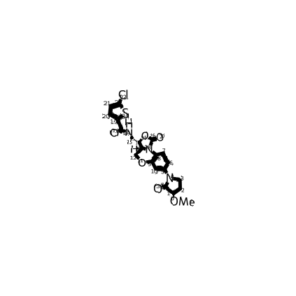 CO[C@H]1CCN(c2ccc3c(c2)OC[C@H]2[C@H](CNC(=O)c4ccc(Cl)s4)OC(=O)N32)C1=O